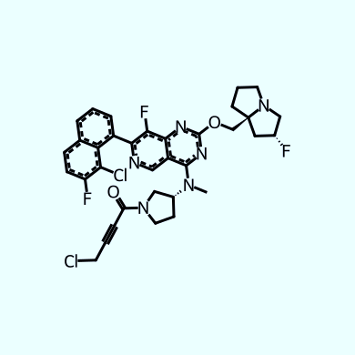 CN(c1nc(OC[C@@]23CCCN2C[C@H](F)C3)nc2c(F)c(-c3cccc4ccc(F)c(Cl)c34)ncc12)[C@@H]1CCN(C(=O)C#CCCl)C1